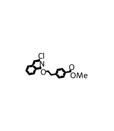 COC(=O)c1ccc(CCOc2nc(Cl)cc3ccccc23)cc1